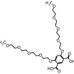 COCCOCCOCCOCCOc1cc(OCCOCCOCCOCCOC)c(C(=O)O)cc1C(=O)O